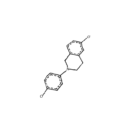 Clc1ccc(N2CCc3cc(Cl)ccc3C2)cc1